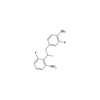 CC(Cc1ccc(C(C)(C)C)c(F)c1)c1c(N)cccc1F